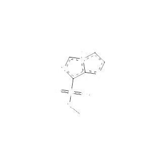 CNS(=O)(=O)c1ncn2ccsc12